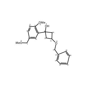 COCc1cnc(OC)c(C2(O)CC(OCc3ccccc3)C2)c1